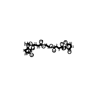 O=C(CCC(=O)ON1C(=O)CCC1=O)OCCOC(=O)CCC(O)ON1C(=O)CCC1=O